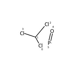 ClC(Cl)Cl.O=[P]